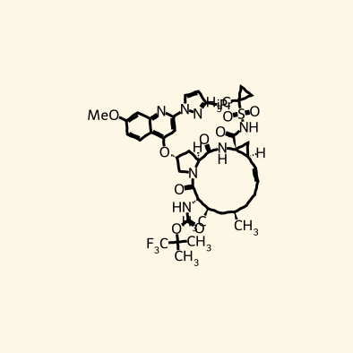 COc1ccc2c(O[C@@H]3C[C@H]4C(=O)N[C@]5(C(=O)NS(=O)(=O)C6(C)CC6)C[C@H]5/C=C\CC[C@@H](C)C[C@@H](C)[C@H](NC(=O)OC(C)(C)C(F)(F)F)C(=O)N4C3)cc(-n3ccc(C(C)C)n3)nc2c1